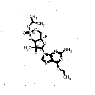 CCOc1nc(N)nc2c1ncn2[C@@H]1O[C@]2(F)CO[P@](=O)(OC(C)C)OC2[C@@]1(C)F